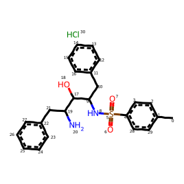 Cc1ccc(S(=O)(=O)NC(Cc2ccccc2)C(O)C(N)Cc2ccccc2)cc1.Cl